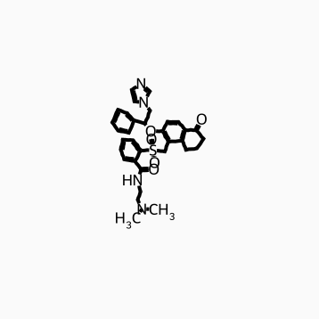 CN(C)CCNC(=O)c1ccccc1S(=O)(=O)Cc1c(OC(Cn2ccnc2)c2ccccc2)ccc2c1CCCC2=O